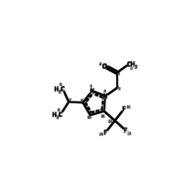 CC(=O)Cn1nc(C(C)C)cc1C(F)(F)F